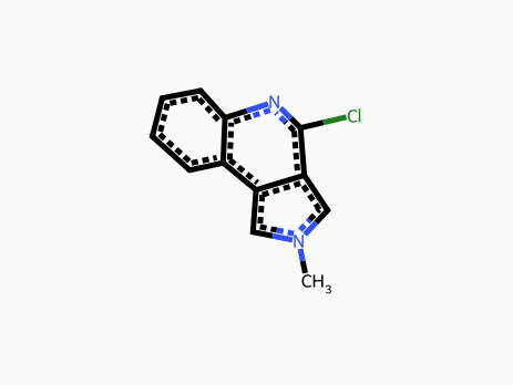 Cn1cc2c(Cl)nc3ccccc3c2c1